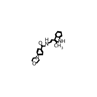 Cc1[nH]c2ccccc2c1/C=C/NCC(=O)c1ccc(N2CCOCC2)cc1